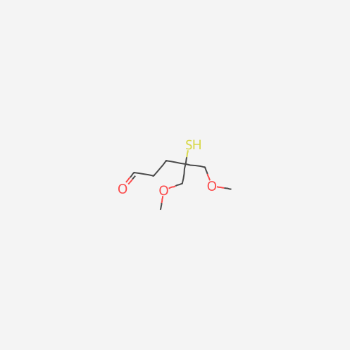 COCC(S)(CCC=O)COC